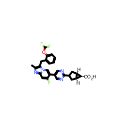 Cc1nc2cc(F)c(-c3cnc(C4C[C@@H]5[C@H](C4)[C@H]5C(=O)O)nc3)cn2c1Cc1ccccc1OC(F)F